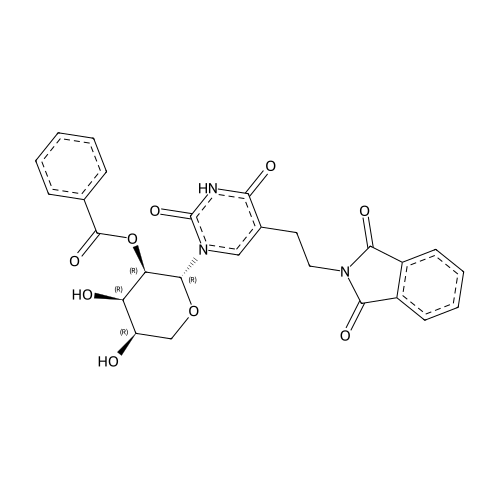 O=C(O[C@@H]1[C@H](O)[C@H](O)CO[C@H]1n1cc(CCN2C(=O)c3ccccc3C2=O)c(=O)[nH]c1=O)c1ccccc1